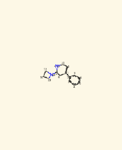 C1=C(c2ccccc2)CC(N2CCC2)[N]C1